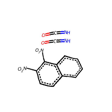 N=C=O.N=C=O.O=[N+]([O-])c1ccc2ccccc2c1[N+](=O)[O-]